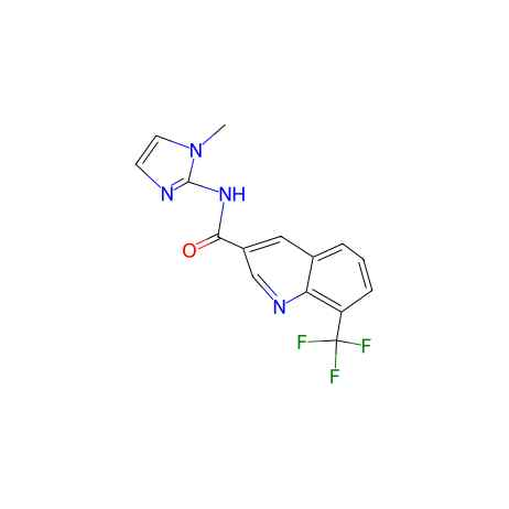 Cn1ccnc1NC(=O)c1cnc2c(C(F)(F)F)cccc2c1